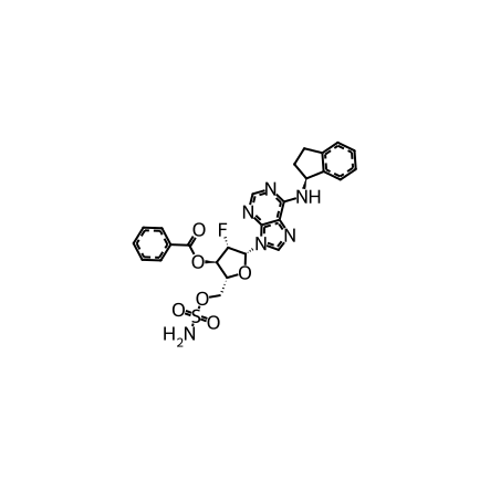 NS(=O)(=O)OC[C@H]1O[C@@H](n2cnc3c(N[C@H]4CCc5ccccc54)ncnc32)[C@@H](F)[C@@H]1OC(=O)c1ccccc1